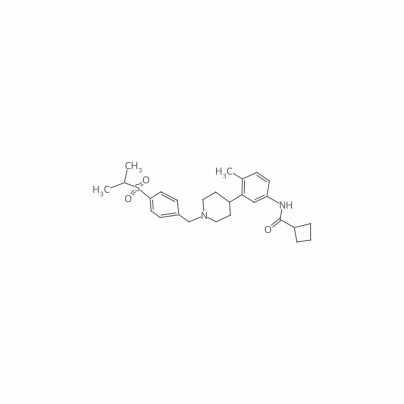 Cc1ccc(NC(=O)C2CCC2)cc1C1CCN(Cc2ccc(S(=O)(=O)C(C)C)cc2)CC1